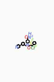 NC(=O)C1CCC(N(Cc2cccc(-c3ccncc3)c2)C(=O)c2sc3c(F)ccc(F)c3c2Cl)CC1